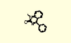 Cn1c(=O)nc(-c2ccccc2)c2ccccc21